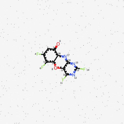 O=c1cc(F)c(F)c2oc3c(F)nc(F)nc3nc1-2